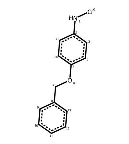 ClNc1ccc(OCc2ccccc2)cc1